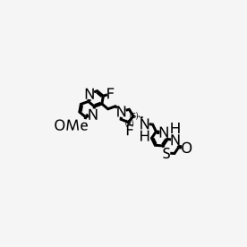 COc1ccc2ncc(F)c(CCN3C[C@H](CNCc4ccc5c(n4)NC(=O)CS5)[C@@H](F)C3)c2n1